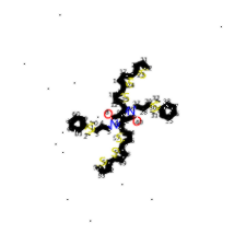 CS(C)(CCCN1C(=O)C2=C(c3ccc(-c4ccc(-c5cccs5)s4)s3)N(CCCS(C)(C)c3ccccc3)C(=O)C2=C1c1ccc(-c2ccc(-c3cccs3)s2)s1)c1ccccc1